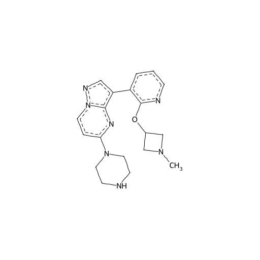 CN1CC(Oc2ncccc2-c2cnn3ccc(N4CCNCC4)nc23)C1